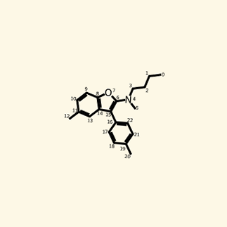 CCCCN(C)c1oc2ccc(C)cc2c1-c1ccc(C)cc1